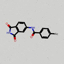 CC(=O)c1ccc(C(=O)Nc2ccc3c(c2)C(=O)NC3=O)cc1